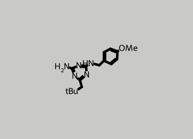 COc1ccc(CNc2nc(N)nc(CC(C)(C)C)n2)cc1